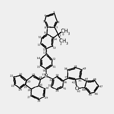 CC1(C)c2ccccc2-c2ccc(-c3ccc(N(C4=Cc5ccccc5C5C=CC=CC45)c4cccc(-c5cccc6c5oc5ccccc56)c4)cc3)cc21